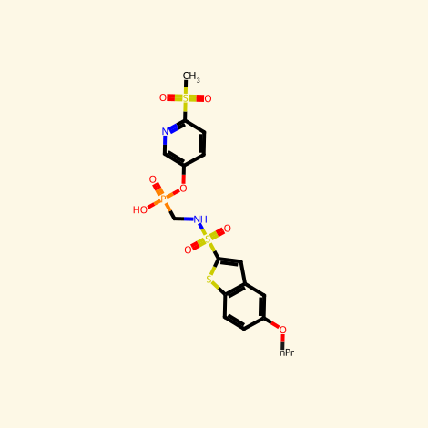 CCCOc1ccc2sc(S(=O)(=O)NCP(=O)(O)Oc3ccc(S(C)(=O)=O)nc3)cc2c1